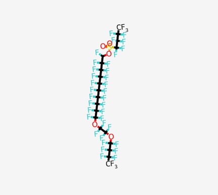 O=S(=O)(OC(F)C(F)(F)C(F)(F)C(F)(F)C(F)(F)C(F)(F)C(F)(F)C(F)(F)C(F)(F)C(F)(F)OC(F)(F)C(F)(F)OC(F)(F)C(F)(F)C(F)(F)C(F)(F)F)C(F)(F)C(F)(F)C(F)(F)C(F)(F)F